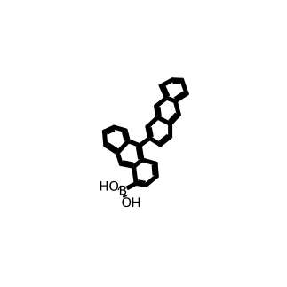 OB(O)c1cccc2c(-c3ccc4cc5ccccc5cc4c3)c3ccccc3cc12